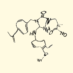 C=C(C)c1ccc(CN2C(=O)N(C[C@H](C)C(=O)N=O)NC2Nc2ccc(OC(C)C)c(C)c2)cc1